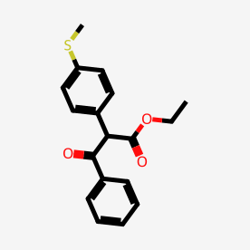 CCOC(=O)C(C(=O)c1ccccc1)c1ccc(SC)cc1